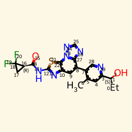 CC[C@H](O)c1cc(C)c(-c2cc3nc(NC(=O)[C@H]4CC4(F)F)sc3n3ncnc23)cn1